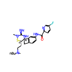 CCCCN(C)CC[C@@H]1SN(C)C(=N)N[C@@]12Cc1ccc(NC(=O)c3ccc(F)cn3)cc12